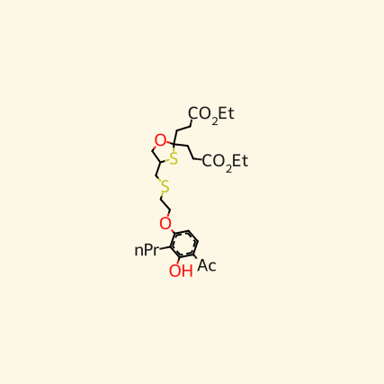 CCCc1c(OCCSCC2COC(CCC(=O)OCC)(CCC(=O)OCC)S2)ccc(C(C)=O)c1O